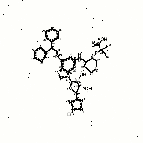 CCn1nnc([C@H]2O[C@@H](n3cnc4c(NCC(c5ccccc5)c5ccccc5)nc(NC5CCOCC5)nc43)[C@H](O)[C@@H]2O)n1.O=C(O)C(F)(F)F